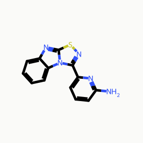 Nc1cccc(-c2nsc3nc4ccccc4n23)n1